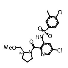 COC[C@@H]1CCCN1C(=O)c1ncc(Cl)cc1NS(=O)(=O)c1ccc(Cl)c(C)c1